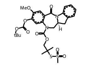 COc1cc2c(cc1OC(=O)OC(C)(C)C)N(C(=O)OCC(C)(C)SS(C)(=O)=O)C[C@@H]1Cc3ccccc3N1C2=O